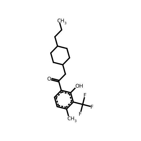 CCCC1CCC(CC(=O)c2ccc(C)c(C(F)(F)F)c2O)CC1